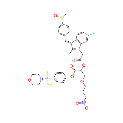 CC1=C(CC(=O)OC(COCCC[N+](=O)[O-])C(=O)Oc2ccc(P(=S)(S)N3CCOCC3)cc2)c2cc(F)ccc2/C1=C\c1ccc([S+](C)[O-])cc1